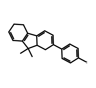 CC1(C)C2=C(CCC=C2)C2=CC=C(c3ccc(I)cc3)CC21